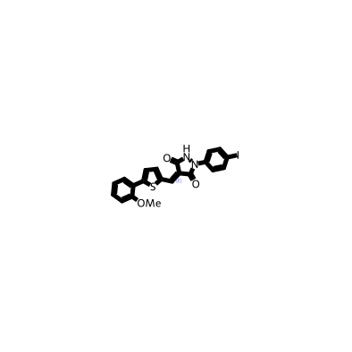 COc1ccccc1-c1ccc(/C=C2\C(=O)NN(c3ccc(I)cc3)C2=O)s1